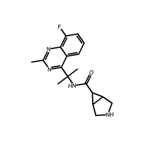 Cc1nc(C(C)(C)NC(=O)C2C3CNCC32)c2cccc(F)c2n1